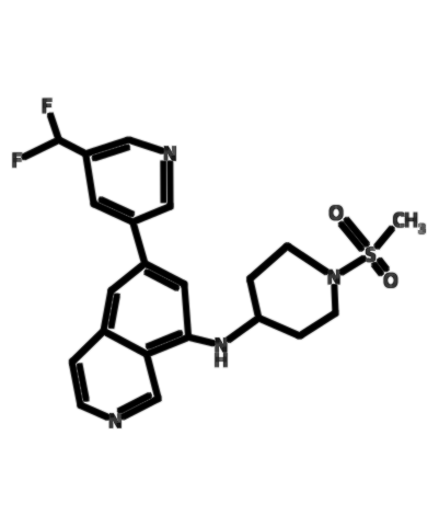 CS(=O)(=O)N1CCC(Nc2cc(-c3cncc(C(F)F)c3)cc3ccncc23)CC1